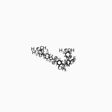 Cc1cc(S(=O)(=O)C2CC3(CCN(C(=O)OC(C)(C)C)CC3)C2)ccc1Nc1ncc(C(F)(F)F)c(N2CCC(C)(O)CC2)n1